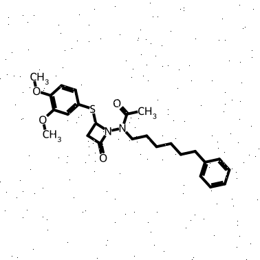 COc1ccc(SC2CC(=O)N2N(CCCCCCc2ccccc2)C(C)=O)cc1OC